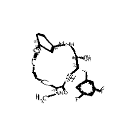 CN[C@H]1CC=CCO[C@H]2CC[C@H](C2)NC[C@@H](O)[C@H](Cc2cc(F)cc(F)c2)NC1=O